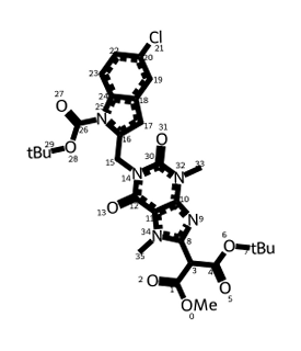 COC(=O)C(C(=O)OC(C)(C)C)c1nc2c(c(=O)n(Cc3cc4cc(Cl)ccc4n3C(=O)OC(C)(C)C)c(=O)n2C)n1C